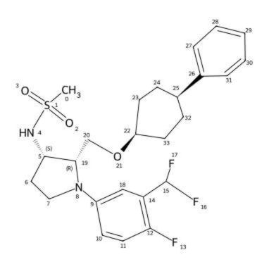 CS(=O)(=O)N[C@H]1CCN(c2ccc(F)c(C(F)F)c2)[C@H]1CO[C@H]1CC[C@@H](c2ccccc2)CC1